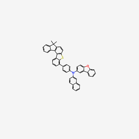 CC1(C)c2ccccc2-c2c1ccc1sc3c(-c4ccc(N(c5ccc6ccccc6c5)c5ccc6oc7ccccc7c6c5)cc4)cccc3c21